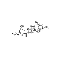 CCN1C[C@H](O)C[C@@H](Nc2nc3nc(-c4c(O)cc(C)cc4C#N)ccc3o2)C1